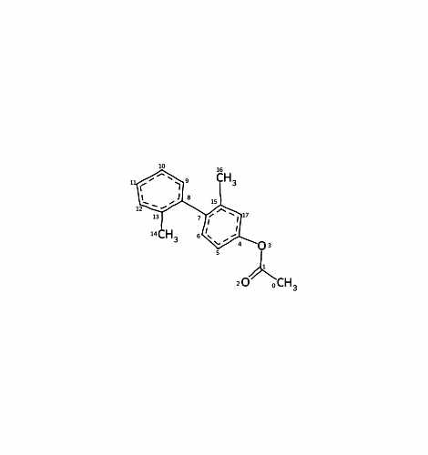 CC(=O)Oc1ccc(-c2ccccc2C)c(C)c1